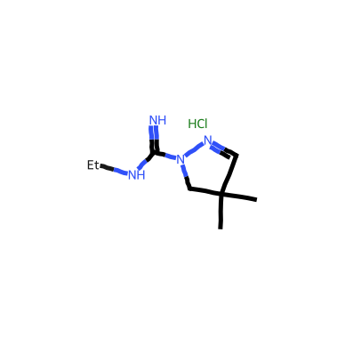 CCNC(=N)N1CC(C)(C)C=N1.Cl